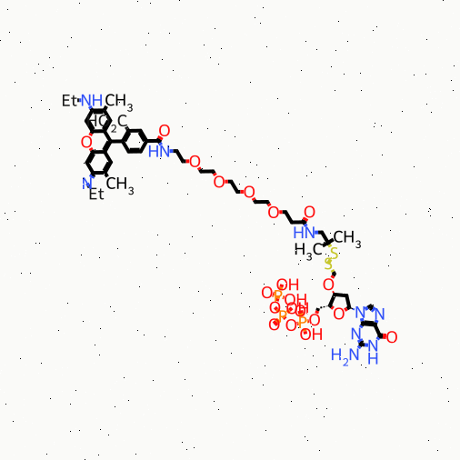 CC/N=c1/cc2oc3cc(NCC)c(C)cc3c(-c3ccc(C(=O)NCCOCCOCCOCCOCCC(=O)NCC(C)(C)SSCO[C@@H]4C[C@H](n5cnc6c(=O)[nH]c(N)nc65)O[C@@H]4COP(=O)(O)OP(=O)(O)OP(=O)(O)O)cc3C(=O)O)c-2cc1C